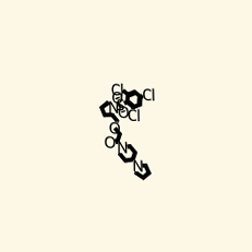 O=C(COCC1CCCN1S(=O)(=O)c1c(Cl)cc(Cl)cc1Cl)N1CCC(N2CCCC2)CC1